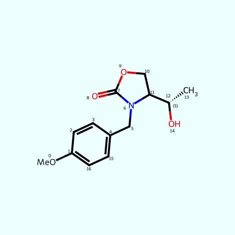 COc1ccc(CN2C(=O)OCC2[C@H](C)O)cc1